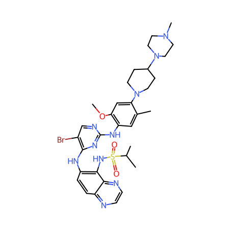 COc1cc(N2CCC(N3CCN(C)CC3)CC2)c(C)cc1Nc1ncc(Br)c(Nc2ccc3nccnc3c2NS(=O)(=O)C(C)C)n1